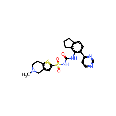 CN1CCc2sc(S(=O)(=O)NC(=O)Nc3c(-c4ccncn4)ccc4c3CCC4)cc2C1